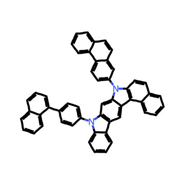 c1ccc2c(-c3ccc(-n4c5ccccc5c5cc6c7c8ccccc8ccc7n(-c7ccc8c(ccc9ccccc98)c7)c6cc54)cc3)cccc2c1